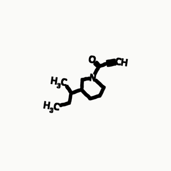 C#CC(=O)N1CCCC(C(C)CC)C1